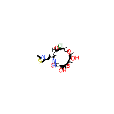 CC(=Cc1csc(C)n1)[C@@H]1C[C@@H]2O[C@]2(Cl)CCO[C@@H](C)[C@@H](O)[C@@H](C)C(=O)C(C)(C)[C@@H](O)CC(=O)N1